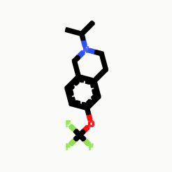 CC(C)N1CCc2cc(OC(F)(F)F)ccc2C1